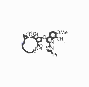 COc1ccc2c(OC3CC4C(=O)NCCCCC/C=C/C5CC5(C(=O)O)NC(=O)C4C3)cc(-c3nc(C(C)C)cs3)nc2c1C